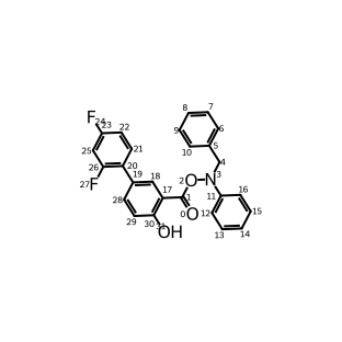 O=C(ON(Cc1ccccc1)c1ccccc1)c1cc(-c2ccc(F)cc2F)ccc1O